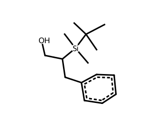 CC(C)(C)[Si](C)(C)C(CO)Cc1ccccc1